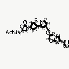 CC(=O)NC[C@H]1CN(c2ccc(-c3cc(CO[C@@H]4COc5nc(NOO)cn5C4)ccn3)c(F)c2)C(=O)O1